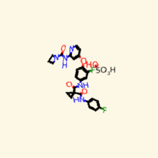 O=C(Nc1cc(Oc2ccc(NC(=O)C3(C(=O)Nc4ccc(F)cc4)CC3)cc2F)ccn1)N1CCC1.O=S(=O)(O)O